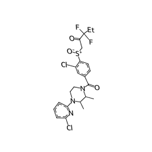 CCC(F)(F)C(=O)C[S+]([O-])c1ccc(C(=O)N2CCN(c3cccc(Cl)n3)C(C)C2C)cc1Cl